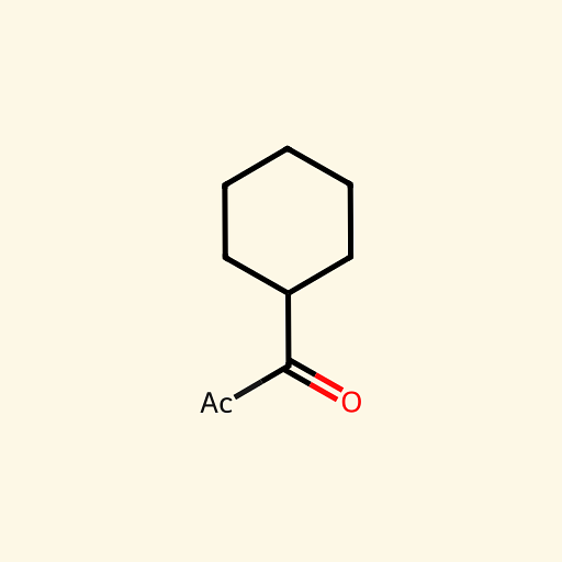 CC(=O)C(=O)C1CCCCC1